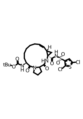 CC(C)(C)OC(=O)N[C@H]1CCCCC/C=C\[C@@H]2C[C@@]2(C(=O)NS(=O)(=O)c2cc(Cl)sc2Cl)NC(=O)C2CCCN2C1=O